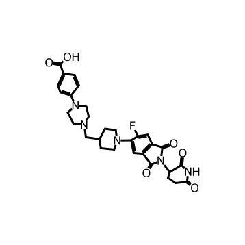 O=C1CCC(N2C(=O)c3cc(F)c(N4CCC(CN5CCN(c6ccc(C(=O)O)cc6)CC5)CC4)cc3C2=O)C(=O)N1